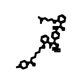 CN(C)CCCOc1ccccc1C(=O)Nc1ccc(C(=O)N(C)c2ccccc2OCCCCCC(=O)N2CCN(C)CC2)cc1.Cl.Cl